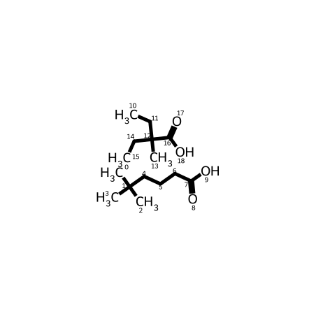 CC(C)(C)CCCC(=O)O.CCC(C)(CC)C(=O)O